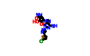 CNC(=O)C12CC1[C@@H](n1cnc3c(NC)nc(-n4cc(-c5ccc(Cl)s5)nn4)nc31)[C@H](O)[C@@H]2O